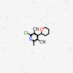 Cc1nc(Cl)c(C#N)c(C2CCCCO2)c1C#N